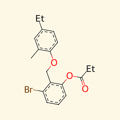 CCC(=O)Oc1cccc(Br)c1COc1ccc(CC)cc1C